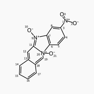 O=[N+]([O-])c1ccc2c(c1)[N+]([O-])=C1C=c3ccccc3=C[N+]12[O-]